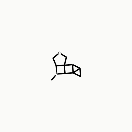 CN1C2COCC23C2C4CC42C13